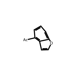 CC(=O)c1cccc2occc12